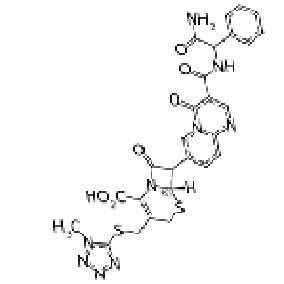 Cn1nnnc1SCC1=C(C(=O)O)N2C(=O)C(c3ccc4ncc(C(=O)NC(C(N)=O)c5ccccc5)c(=O)n4c3)[C@@H]2SC1